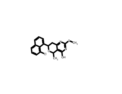 CSc1nc(O)c2c(n1)CC(c1cccc3cccc(Cl)c13)OC2C